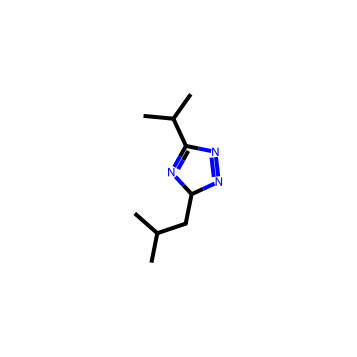 CC(C)CC1N=NC(C(C)C)=N1